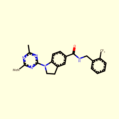 CNc1nc(C)nc(N2CCc3cc(C(=O)NCc4ccccc4C(F)(F)F)ccc32)n1